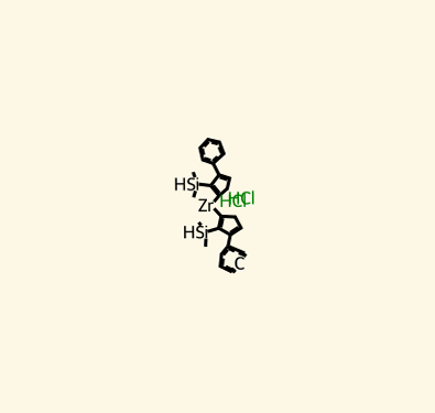 C[SiH](C)C1=[C]([Zr][C]2=C([SiH](C)C)C(c3ccccc3)=CC2)CC=C1c1ccccc1.Cl.Cl